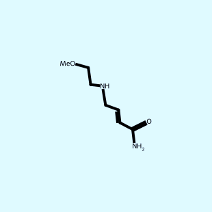 COCCNCC=CC(N)=O